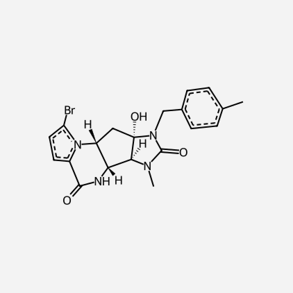 Cc1ccc(CN2C(=O)N(C)[C@H]3[C@@H]4NC(=O)c5ccc(Br)n5[C@@H]4C[C@]32O)cc1